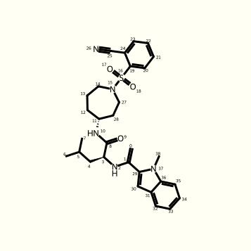 C=C(N[C@@H](CC(C)C)C(=O)N[C@@H]1CCCN(S(=O)(=O)c2ccccc2C#N)CC1)c1cc2ccccc2n1C